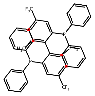 Cc1cc(C(F)(F)F)cc(P(c2ccccc2)c2ccccc2)c1-c1c(C)cc(C(F)(F)F)cc1P(c1ccccc1)c1ccccc1